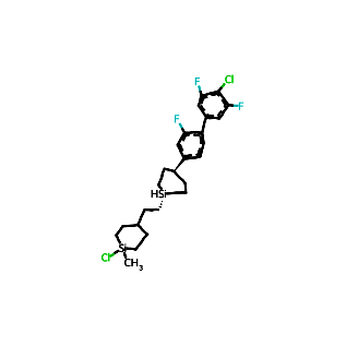 C[Si]1(Cl)CCC(CC[Si@H]2CC[C@H](c3ccc(-c4cc(F)c(Cl)c(F)c4)c(F)c3)CC2)CC1